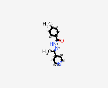 C/C(=N\NC(=O)c1ccc(C)cc1)c1ccncc1